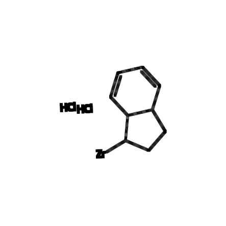 Cl.Cl.[Zr][CH]1CCC2C=CC=CC12